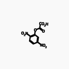 O=C(O)C(=O)Oc1cc([N+](=O)[O-])ccc1[N+](=O)[O-]